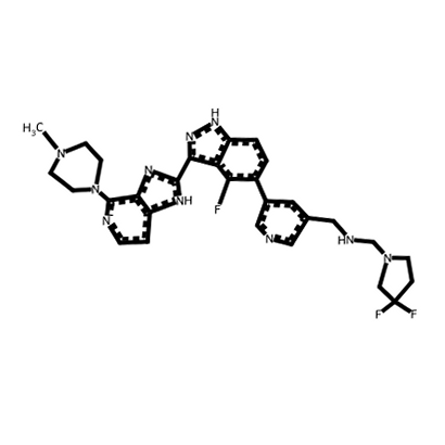 CN1CCN(c2nccc3[nH]c(-c4n[nH]c5ccc(-c6cncc(CNCN7CCC(F)(F)C7)c6)c(F)c45)nc23)CC1